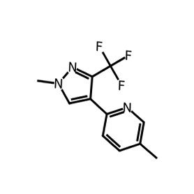 Cc1ccc(-c2cn(C)nc2C(F)(F)F)nc1